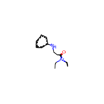 CCN(CC)C(=O)CNc1ccccc1